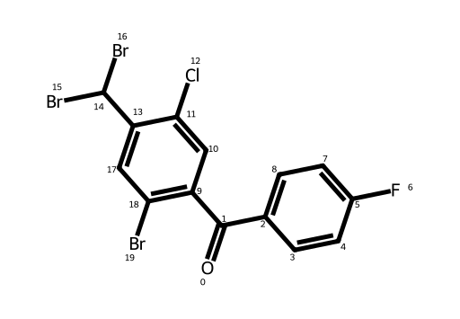 O=C(c1ccc(F)cc1)c1cc(Cl)c(C(Br)Br)cc1Br